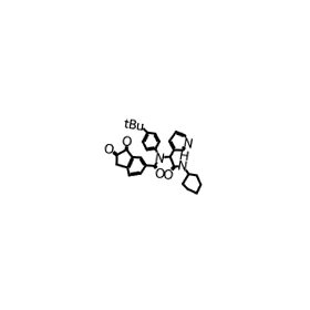 CC(C)(C)c1ccc(N(C(=O)c2ccc3c(c2)C(=O)C(=O)C3)C(C(=O)NC2CCCCC2)c2cccnc2)cc1